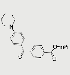 CCCOC(=O)c1ccc(C(=O)c2ccc(N3CCCCC3)cc2)cc1